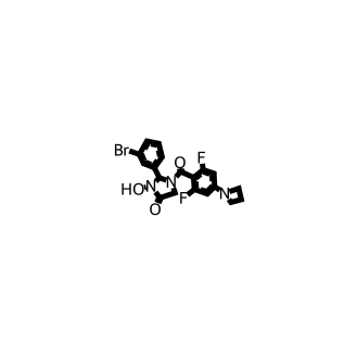 O=C1CN(C(=O)c2c(F)cc(N3CCC3)cc2F)C(c2cccc(Br)c2)N1O